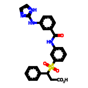 O=C(O)CC(c1ccccc1)S(=O)(=O)c1cccc(NC(=O)c2cccc(Nc3ncc[nH]3)c2)c1